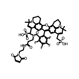 CN(CCC(=O)NCCN1C(=O)C=CC1=O)C(=O)c1c(F)c(F)c(F)c(F)c1C1=c2cc3c4c(c2Oc2c1cc1c5c2CCCN5C(C)(C)C=C1CS(=O)(=O)O)CCC[N+]=4C(C)(C)C=C3CS(=O)(=O)O